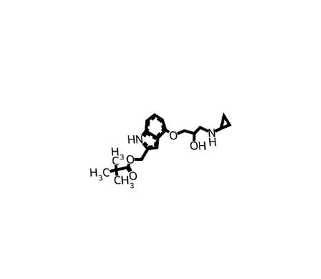 CC(C)(C)C(=O)OCc1cc2c(OCC(O)CNC3CC3)cccc2[nH]1